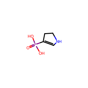 O=P(O)(O)C1=CNCC1